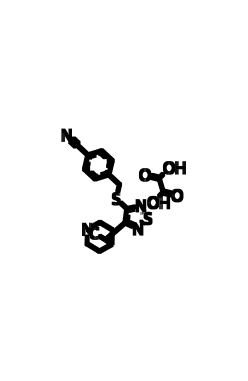 N#Cc1ccc(CSc2nsnc2C2CN3CCC2CC3)cc1.O=C(O)C(=O)O